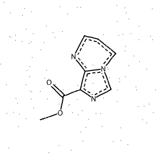 COC(=O)c1ncn2cccnc12